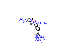 C=C(N)/N=C\C(=C/N)c1ccc(C(C)(/C(N)=N/OC(=C)N2CCC(N)CC2)C(C)C)cc1